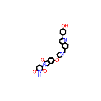 O=C1CCC(N2Cc3cc(O[C@H]4CCN(Cc5ccc6nc([C@H]7CC[C@@H](O)CC7)ccc6c5)C4)ccc3C2=O)C(=O)N1